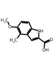 COc1ccc2[nH]c(C(=O)O)cc2c1C